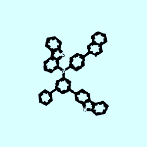 c1ccc(-c2cc(-c3ccc4c(c3)oc3ccccc34)cc(N(c3ccc(-c4ccc5ccccc5c4)cc3)c3cccc4c3sc3ccccc34)c2)cc1